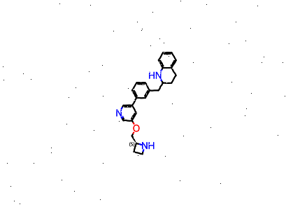 c1cc(CC2CCc3ccccc3N2)cc(-c2cncc(OC[C@@H]3CCN3)c2)c1